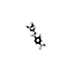 CN1C[C@H](CNc2ccc([N+](=O)[O-])cc2F)OC1=O